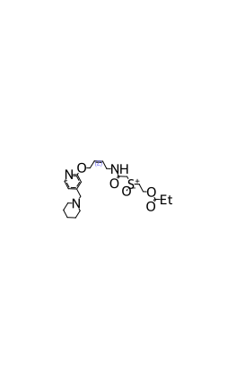 CCC(=O)OCC[S+]([O-])CC(=O)NC/C=C\COc1cc(CN2CCCCC2)ccn1